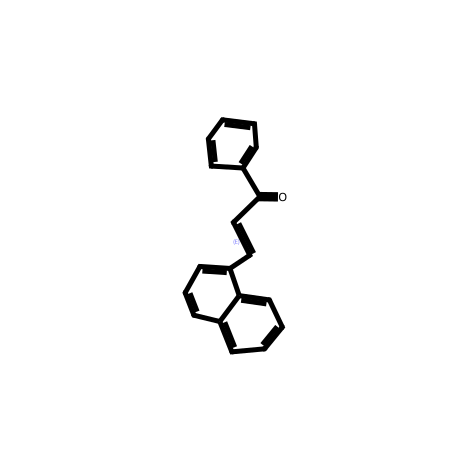 O=C(/C=C/c1cccc2ccccc12)c1ccccc1